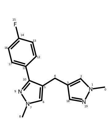 Cn1cc(Cc2cn(C)nc2-c2ccc(F)cc2)cn1